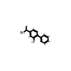 CC(Br)c1ccc(-c2ccccc2)c(F)c1